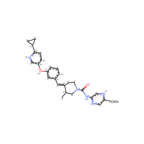 COc1cnc(NC(=O)N2CC/C(=C\c3cccc(Oc4ccc(C5CC5)nc4)c3)C(C)C2)cn1